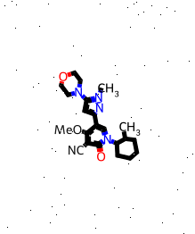 COc1c(-c2cc(N3CCOCC3)n(C)n2)cn(C2CCCCC2C)c(=O)c1C#N